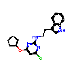 Clc1cc(OC2CCCC2)nc(NCCc2c[nH]c3ccccc23)n1